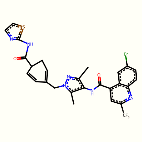 Cc1nn(CC2=CCC(C(=O)Nc3nccs3)C=C2)c(C)c1NC(=O)c1cc(C(F)(F)F)nc2ccc(Br)cc12